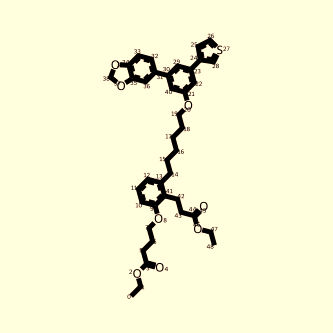 CCOC(=O)CCCOc1cccc(CCCCCCOc2cc(-c3ccsc3)cc(-c3ccc4c(c3)OCO4)c2)c1CCC(=O)OCC